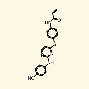 C=CC(=O)Nc1ccc(Sc2ccnc(Nc3ccc(C#N)cc3)n2)cc1